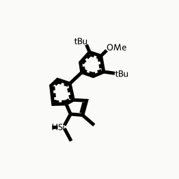 COc1c(C(C)(C)C)cc(-c2cccc3c2C=C(C)C3[SiH](C)C)cc1C(C)(C)C